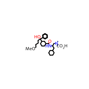 COCCCCC(O)(c1ccccc1)C1CCCC(C(=O)NC(CC2CCCCC2)CN(C)C(=O)O)C1